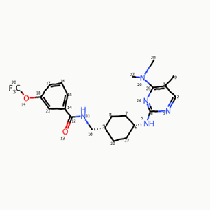 Cc1cnc(N[C@H]2CC[C@@H](CNC(=O)c3cccc(OC(F)(F)F)c3)CC2)nc1N(C)C